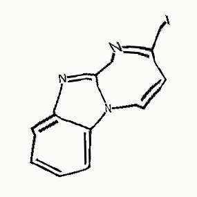 Ic1ccn2c(n1)nc1ccccc12